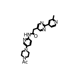 CC(=O)N1CCN(c2ccc(NC(=O)Cc3cnc(-c4ccnc(C)c4)nc3)nc2)CC1